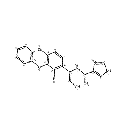 CC[C@H](N[C@@H](C)c1c[nH]cn1)c1ccc(Cl)c(Oc2ccccc2)c1F